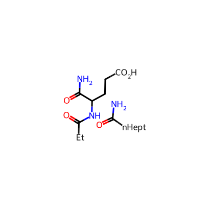 CCC(=O)NC(CCC(=O)O)C(N)=O.CCCCCCCC(N)=O